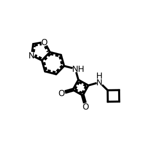 O=c1c(Nc2ccc3ncoc3c2)c(NC2CCC2)c1=O